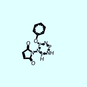 O=C1C=CC(=O)N1n1[pH][nH]pnp1Oc1ccccc1